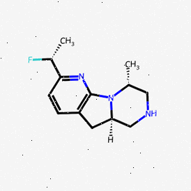 C[C@@H]1CNC[C@H]2Cc3ccc([C@@H](C)F)nc3N21